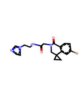 O=C(CN1CC2(CC2)c2cc(Br)ccc2C1=O)NCCn1ccnc1